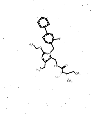 CCOc1nc(CC)c(CNC(=O)[C@@H](S)[C@@H](C)CC)n1Cc1ccc(-c2ccccc2)cc1F